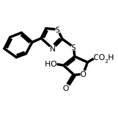 O=C1OC(C(=O)O)C(Sc2nc(-c3ccccc3)cs2)=C1O